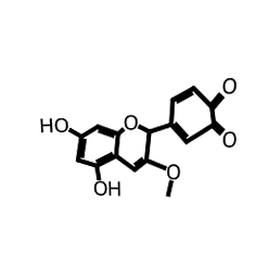 COC1=Cc2c(O)cc(O)cc2OC1C1=CC(=O)C(=O)C=C1